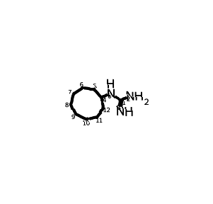 N=C(N)NC1CCCCCCCC1